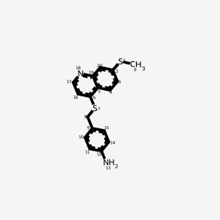 CSc1ccc2c(SCc3ccc(N)cc3)ccnc2c1